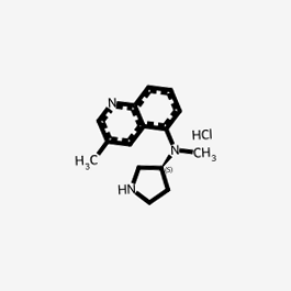 Cc1cnc2cccc(N(C)[C@H]3CCNC3)c2c1.Cl